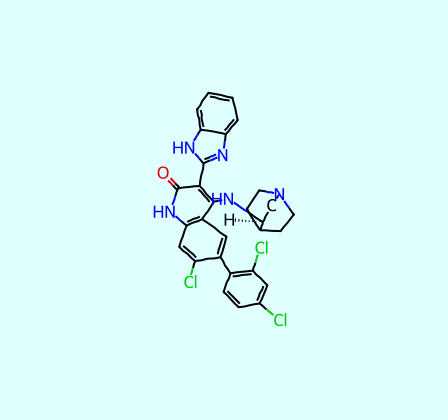 O=c1[nH]c2cc(Cl)c(-c3ccc(Cl)cc3Cl)cc2c(N[C@H]2CN3CCC2CC3)c1-c1nc2ccccc2[nH]1